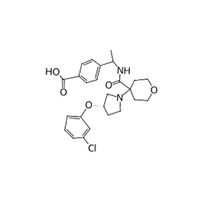 CC(NC(=O)C1(N2CC[C@H](Oc3cccc(Cl)c3)C2)CCOCC1)c1ccc(C(=O)O)cc1